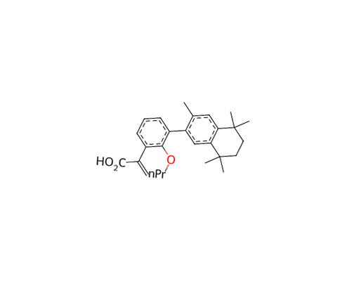 C=C(C(=O)O)c1cccc(-c2cc3c(cc2C)C(C)(C)CCC3(C)C)c1OCCC